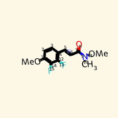 COc1ccc(/C=C/C(=O)N(C)OC)c(F)c1F